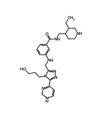 CCC1CNCCC1CNC(=O)c1cccc(NCc2nnc(C3=NCNC=C3)n2CCCO)c1